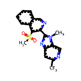 Cn1c(-c2ncc3ccccc3c2S(C)(=O)=O)nc2cc(C(F)(F)F)ncc21